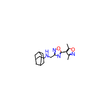 Cc1noc(C)c1-c1nc(CNC23CC4CC(CC(C4)C2)C3)no1